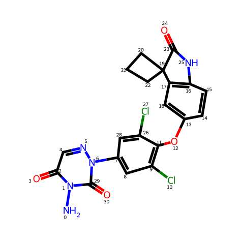 Nn1c(=O)cnn(-c2cc(Cl)c(Oc3ccc4c(c3)C3(CCC3)C(=O)N4)c(Cl)c2)c1=O